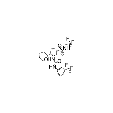 O=C(Nc1cccc(C(F)(F)F)c1)Nc1cc(S(=O)(=O)NCC(F)(F)F)ccc1C1CCCCO1